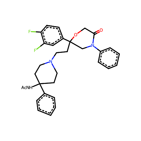 CC(=O)NC1(c2ccccc2)CCN(CCC2(c3ccc(F)c(F)c3)CN(c3ccccc3)C(=O)CO2)CC1